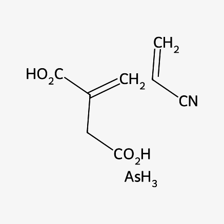 C=C(CC(=O)O)C(=O)O.C=CC#N.[AsH3]